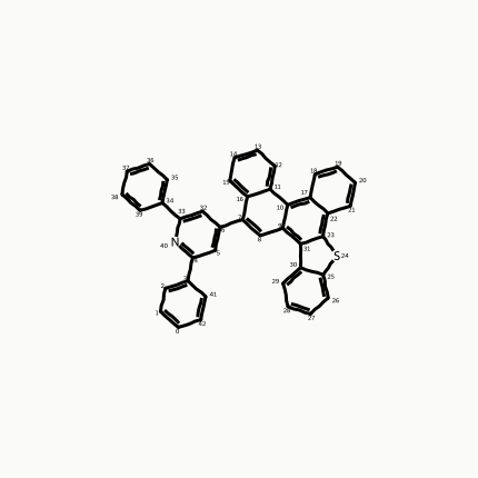 c1ccc(-c2cc(-c3cc4c(c5ccccc35)c3ccccc3c3sc5ccccc5c43)cc(-c3ccccc3)n2)cc1